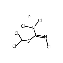 ClN=C(SC(Cl)Cl)N(Cl)Cl.[Ir]